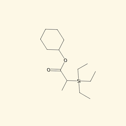 CC[Si](CC)(CC)C(C)C(=O)OC1CCCCC1